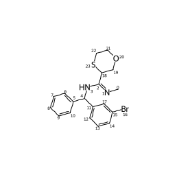 CN=C(NC(c1ccccc1)c1cccc(Br)c1)C1COCCS1